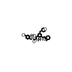 CC1CCCCC1(O)CCc1cc(CC2CCOCC2)cc2c(O)c(C(=O)NCc3ccc(Cl)cc3)nnc12